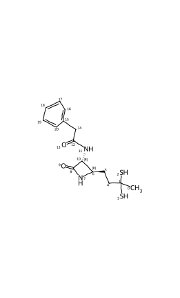 CC(S)(S)CC[C@H]1NC(=O)[C@@H]1NC(=O)Cc1ccccc1